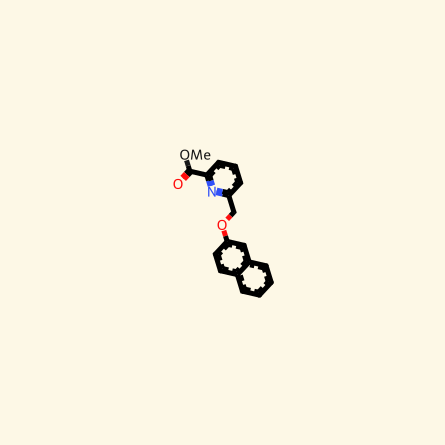 COC(=O)c1cccc(COc2ccc3ccccc3c2)n1